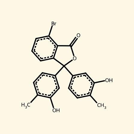 Cc1ccc(C2(c3ccc(C)c(O)c3)OC(=O)c3c(Br)cccc32)cc1O